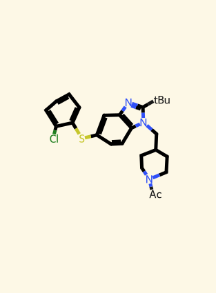 CC(=O)N1CCC(Cn2c(C(C)(C)C)nc3cc(Sc4ccccc4Cl)ccc32)CC1